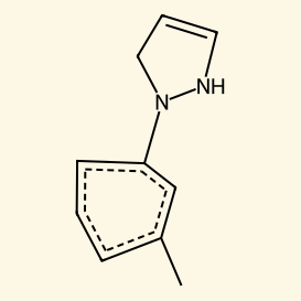 Cc1cccc(N2CC=CN2)c1